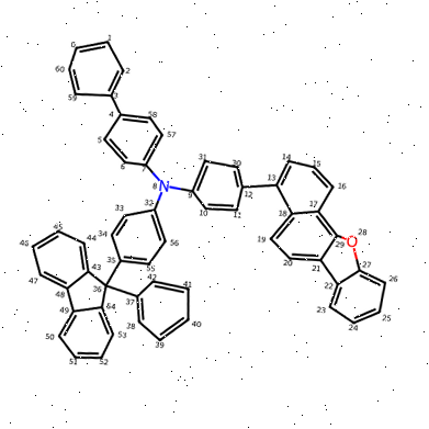 c1ccc(-c2ccc(N(c3ccc(-c4cccc5c4ccc4c6ccccc6oc54)cc3)c3ccc(C4(c5ccccc5)c5ccccc5-c5ccccc54)cc3)cc2)cc1